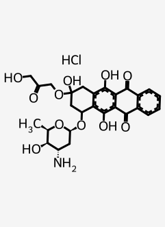 C[C@H]1O[C@@H](OC2CC(O)(OCC(=O)CO)Cc3c(O)c4c(c(O)c32)C(=O)c2ccccc2C4=O)C[C@H](N)[C@H]1O.Cl